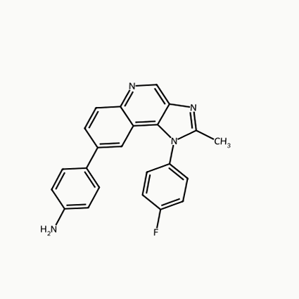 Cc1nc2cnc3ccc(-c4ccc(N)cc4)cc3c2n1-c1ccc(F)cc1